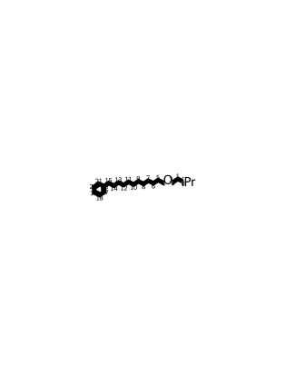 CC(C)CCOCCCCCCCCCCCCc1ccccc1